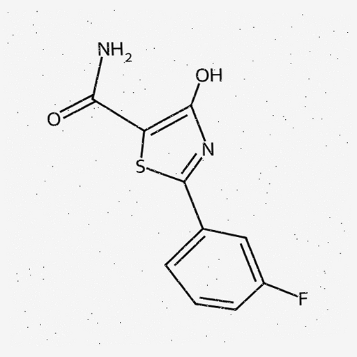 NC(=O)c1sc(-c2cccc(F)c2)nc1O